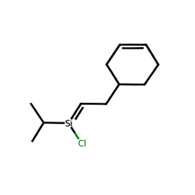 CC(C)[Si](Cl)=CCC1CC=CCC1